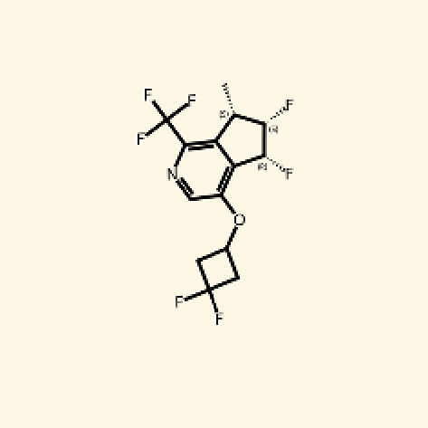 C[C@H]1c2c(C(F)(F)F)ncc(OC3CC(F)(F)C3)c2[C@@H](F)[C@H]1F